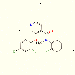 CN(C(=O)c1ccncc1Oc1ccc(Cl)cc1Cl)c1ccccc1Cl